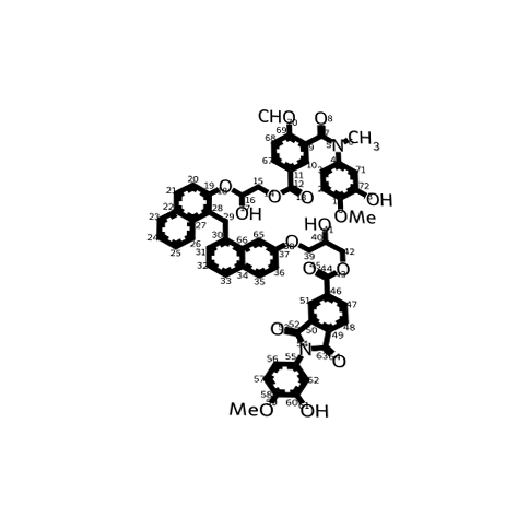 COc1ccc(N(C)C(=O)c2cc(C(=O)OCC(O)Oc3ccc4ccccc4c3Cc3cccc4ccc(OCC(O)COC(=O)c5ccc6c(c5)C(=O)N(c5ccc(OC)c(O)c5)C6=O)cc34)ccc2C=O)cc1O